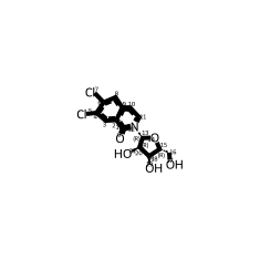 O=c1c2cc(Cl)c(Cl)cc2ccn1[C@@H]1O[C@H](CO)[C@@H](O)[C@H]1O